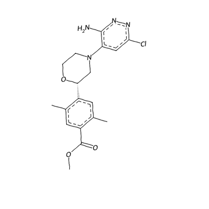 COC(=O)c1cc(C)c([C@H]2CN(c3cc(Cl)nnc3N)CCO2)cc1C